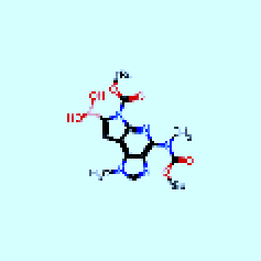 CN(C(=O)OC(C)(C)C)c1nc2c(cc(B(O)O)n2C(=O)OC(C)(C)C)c2c1ncn2C